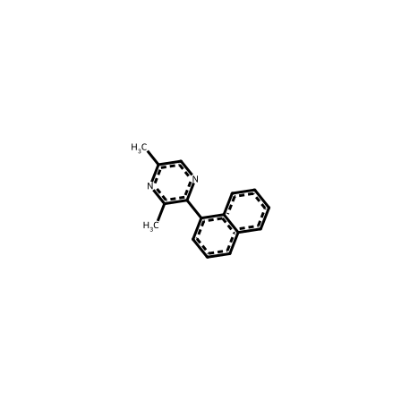 Cc1cnc(-c2cccc3ccccc23)c(C)n1